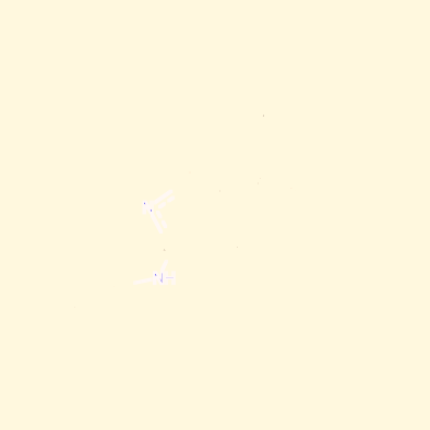 CCOC(=O)c1cnc(NC2CC2)s1